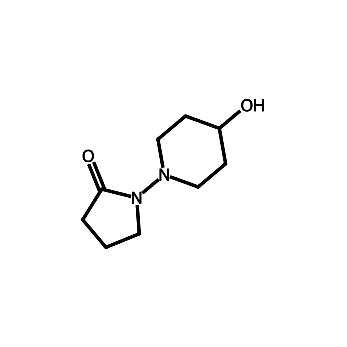 O=C1CCCN1N1CCC(O)CC1